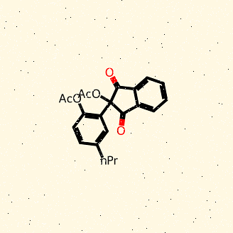 CCCc1ccc(OC(C)=O)c(C2(OC(C)=O)C(=O)c3ccccc3C2=O)c1